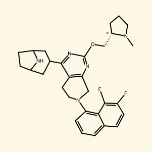 CN1CCC[C@H]1COc1nc2c(c(C3CC4CCC(C3)N4)n1)CCN(c1cccc3ccc(F)c(F)c13)C2